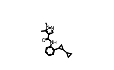 Cc1c(C(=O)Nc2ccccc2C2CC2C2CC2)cnn1C